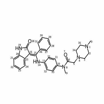 CN1CCN(CC(=O)N(C)c2ccc(NC(=C3C(=O)Nc4ccccc43)c3ccccc3)cc2)CC1